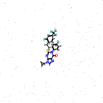 O=c1c2ncn(C3CC3)c2nc(SCCc2ccc(C(F)(F)F)cc2F)n1-c1ccc(F)cc1